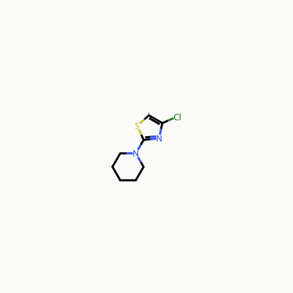 Clc1[c]sc(N2CCCCC2)n1